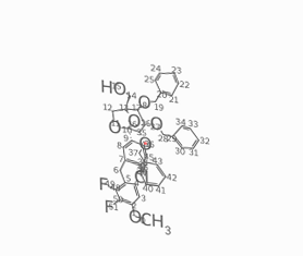 COc1ccc(Cc2cc([C@]34OC[C@@](CO)(O3)[C@H](OCc3ccccc3)[C@H](OCc3ccccc3)[C@@H]4OCc3ccccc3)ccc2Cl)c(F)c1F